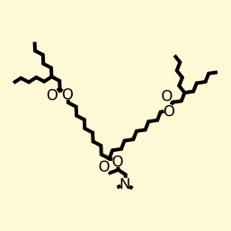 CCCCCC(CCCCC)CC(=O)OCCCCCCCCCC1(CCCCCCCCCOC(=O)CC(CCCCC)CCCCC)OCC(CN(C)C)O1